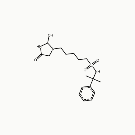 CC(C)(NS(=O)(=O)CCCCCN1CC(=O)NC1O)c1ccccc1